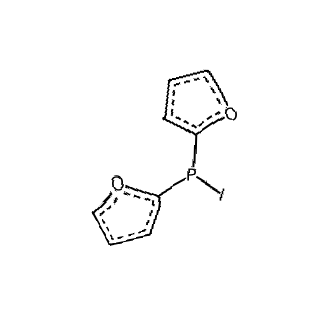 IP(c1ccco1)c1ccco1